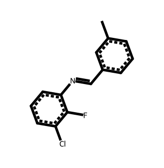 Cc1cccc(C=Nc2cccc(Cl)c2F)c1